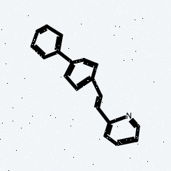 C(=C\c1ccccn1)/c1ccc(-c2ccccc2)cc1